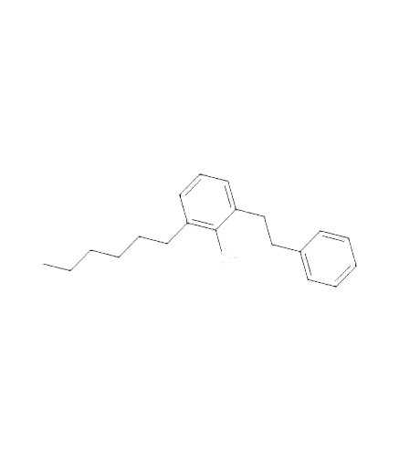 CCCCCCc1cccc(CCc2ccccc2)c1O